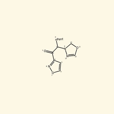 CCCCCC(C(=O)c1ccon1)N1COC=N1